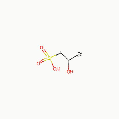 [CH2]CC(O)[CH]S(=O)(=O)O